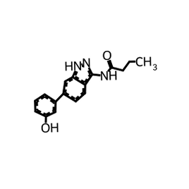 CCCC(=O)Nc1n[nH]c2cc(-c3cccc(O)c3)ccc12